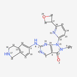 CC(C)n1c(=O)c2cnc(Nc3ccc4c(c3)CCNC4)nc2n1-c1cccc(C2COC2)n1